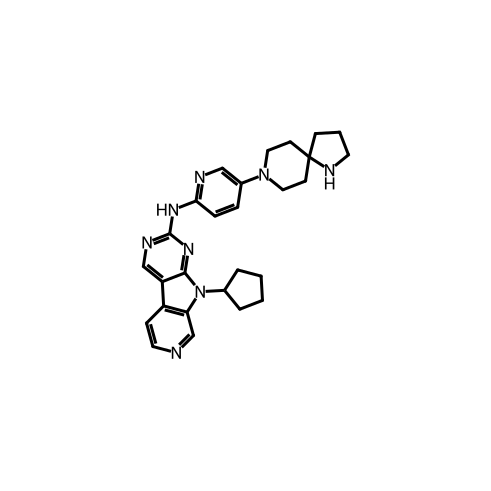 c1cc2c3cnc(Nc4ccc(N5CCC6(CCCN6)CC5)cn4)nc3n(C3CCCC3)c2cn1